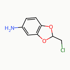 Nc1ccc2c(c1)OC(CCl)O2